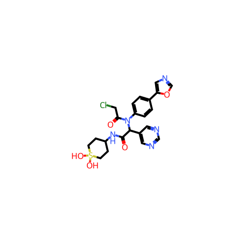 O=C(NC1CCS(O)(O)CC1)C(c1cncnc1)N(C(=O)CCl)c1ccc(-c2cnco2)cc1